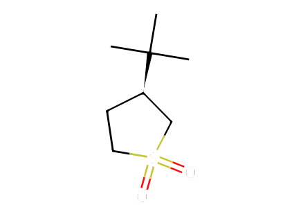 CC(C)(C)[C@@H]1CCS(=O)(=O)C1